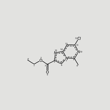 CCOC(=O)c1cn2c(C)nc(Cl)cc2n1